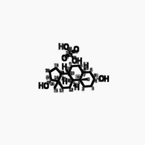 C[C@]12CC[C@@H](O)C[C@@H]1CC[C@@H]1[C@@H]2CC[C@]2(C)[C@H](O)CC[C@@H]12.O=S(=O)(O)O